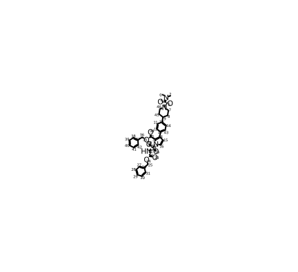 CN(C)S(=O)(=O)N1CCC(c2ccc(-c3ccn(S(=O)(=O)NC(=O)OCc4ccccc4)c3C(=O)OCc3ccccc3)cc2)CC1